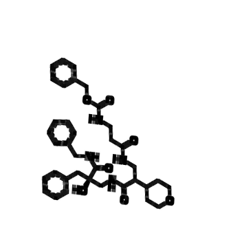 O=C(CCNC(=O)OCc1ccccc1)NCC(C(=O)NC[C@](O)(Cc1ccccc1)C(=O)NCc1ccccc1)C1CCOCC1